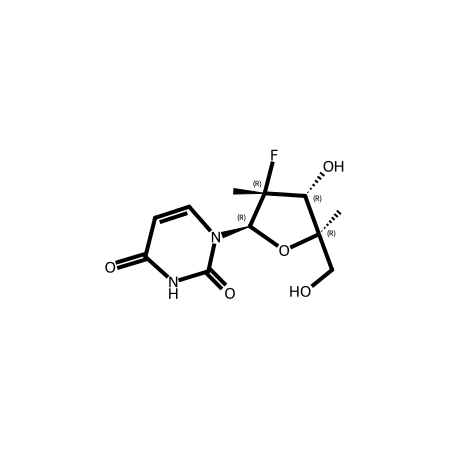 C[C@]1(F)[C@H](n2ccc(=O)[nH]c2=O)O[C@](C)(CO)[C@H]1O